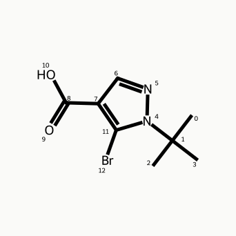 CC(C)(C)n1ncc(C(=O)O)c1Br